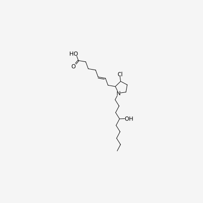 CCCCCC(O)CCCN1CCC(Cl)C1C/C=C/CCCC(=O)O